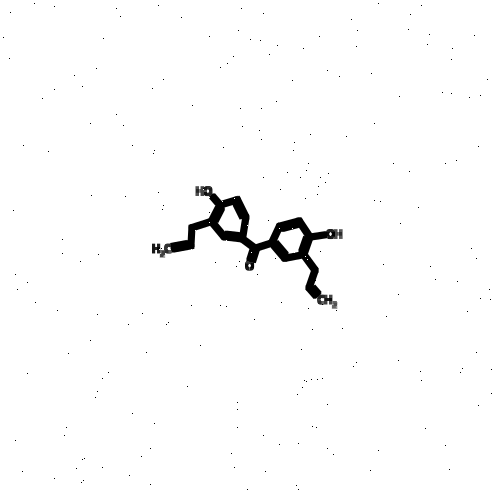 C=CCc1cc(C(=O)c2ccc(O)c(CC=C)c2)ccc1O